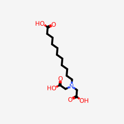 O=C(O)CCCCCCCCCCN(CC(=O)O)CC(=O)O